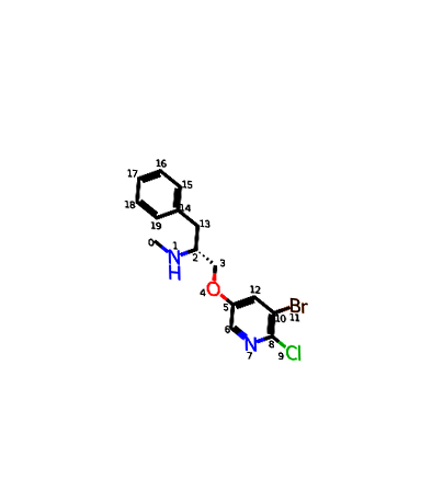 CN[C@@H](COc1cnc(Cl)c(Br)c1)Cc1ccccc1